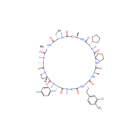 CC[C@H](C)[C@@H]1NC(=O)[C@H](CC(C)C)N(C)C(=O)C[C@@H](C)NC(=O)[C@H](C2CCCC2)N(C)C(=O)C2(CCCC2)NC(=O)[C@@H](C)NC(=O)[C@H](CCc2ccc(C(F)(F)F)c(Cl)c2)NC(=O)CN(C)C(=O)[C@H](Cc2ccc(C)cc2)N(C)C(=O)[C@@H]2CCN2C(=O)[C@H](C)N(C)C1=O